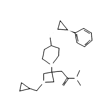 CN(C)C(=O)CC1(N2CCC(N[C@@H]3C[C@H]3c3ccccc3)CC2)CN(CC2CC2)C1